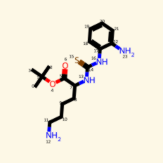 CC(C)(C)OC(=O)C(CCCCN)NC(=S)Nc1ccccc1N